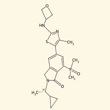 Cc1nc(NC2COC2)sc1-c1cc2c(c(P(C)(C)=O)c1)C(=O)N([C@@H](C)C1CC1)C2